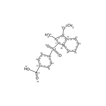 COc1c(C)c(S(=O)(=O)c2ccc(C(=O)O)cc2)n2ccccc12